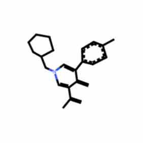 C=C(C)C1=CN(CC2CCCCC2)C=C(c2ccc(C)cc2)C1=C